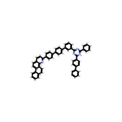 c1ccc(-c2ccc(-c3nc(-c4ccccc4)nc(-c4cccc(-c5ccc(-c6ccc(-c7ccc8ccc9c%10ccccc%10ccc9c8n7)cc6)cc5)c4)n3)cc2)cc1